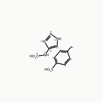 Cc1ccc(S(=O)(=O)O)cc1.O=C(O)Nc1c[nH]nn1